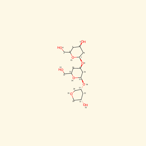 OCC1C[C@@H](O)C[C@@H](O[C@@H]2CC(CO)O[C@H](O[C@H]3COC[C@@H](O)C3)C2)O1